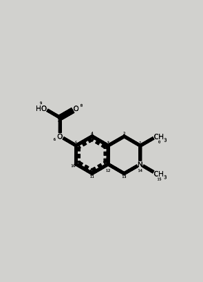 CC1Cc2cc(OC(=O)O)ccc2CN1C